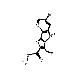 COC(=O)c1sc2c([nH]c3cc(Br)cnc32)c1F